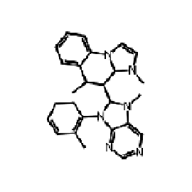 CC1=C(N2c3ncncc3N(C)C2C2C(C)c3ccccc3N3C=CN(C)C23)CCC=C1